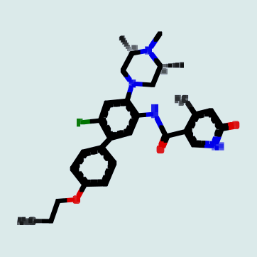 COCCOc1ccc(-c2cc(NC(=O)c3c[nH]c(=O)cc3C(F)(F)F)c(N3C[C@@H](C)N(C)[C@@H](C)C3)cc2F)cc1